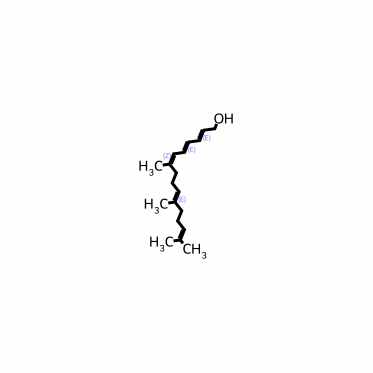 CC(C)=CCC/C(C)=C/CC\C(C)=C/C=C/C=C/CO